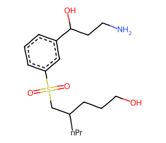 CCCC(CCCO)CS(=O)(=O)c1cccc(C(O)CCN)c1